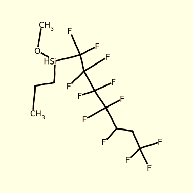 CCC[SiH](OC)C(F)(F)C(F)(F)C(F)(F)C(F)(F)C(F)CC(F)(F)F